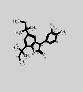 CCC(C)(C)c1cc2c(c(C(C)(C)CC)c1)OC(=O)C2c1ccc(C)c(C)c1